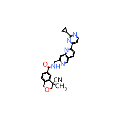 C[C@@]1(C#N)COCc2ccc(C(=O)NCc3cc4nc(-c5ccnc(C6CC6)n5)ccc4cn3)cc21